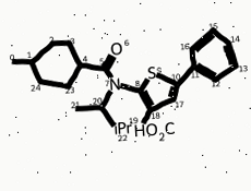 CC1CCC(C(=O)N(c2sc(-c3ccccc3)cc2C(=O)O)C(C)C(C)C)CC1